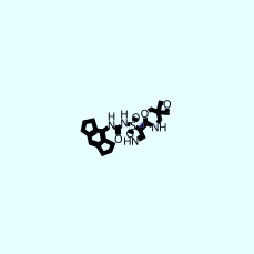 N=C/C(=C1\NCC2(COC2)CO1)S(=O)(=O)NC(=O)Nc1c2c(cc3c1CCC3)CCC2